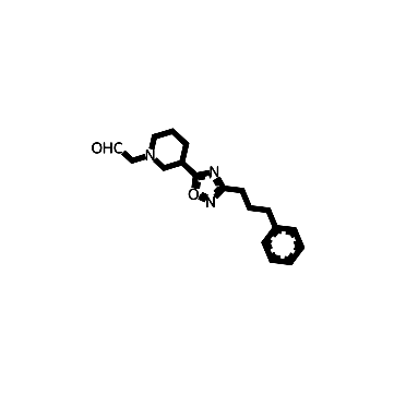 O=CCN1CCCC(c2nc(CCCc3ccccc3)no2)C1